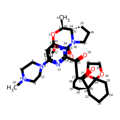 C[C@H](Oc1cc(N2CCN(C)CC2)nc(C(=O)C2CCC[C@@]3(CCCCC34OCCO4)C2=O)n1)[C@@H]1CCCN1C(=O)OC(C)(C)C